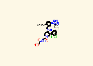 COc1ccc(-n2nnnc2C(F)(F)F)cc1CN[C@H]1CCN(C(=O)CNC(=O)CO)C[C@H]1c1ccccc1.Cl